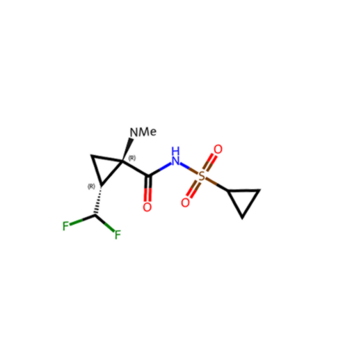 CN[C@]1(C(=O)NS(=O)(=O)C2CC2)C[C@H]1C(F)F